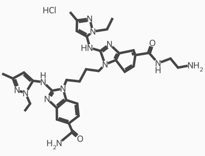 CCn1nc(C)cc1Nc1nc2cc(C(N)=O)ccc2n1CCCCn1c(Nc2cc(C)nn2CC)nc2cc(C(=O)NCCN)ccc21.Cl